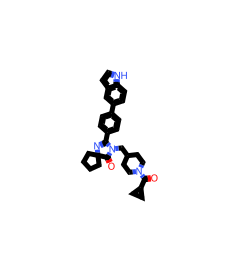 O=C(C1CC1)N1CCC(CN2C(=O)C3(CCCC3)N=C2c2ccc(-c3ccc4[nH]ccc4c3)cc2)CC1